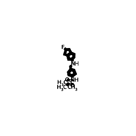 CC(C)(C)S(=O)(=O)Nc1ccc(CNc2ccc3c(c2)CC(F)C3)cc1